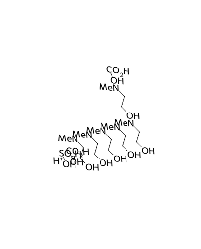 CNCCO.CNCCO.CNCCO.CNCCO.CNCCO.CNCCO.O=C(O)O.O=C(O)O.O=S(=O)(O)O.[H+]